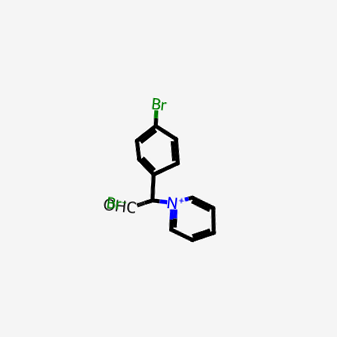 O=CC(c1ccc(Br)cc1)[n+]1ccccc1.[Br-]